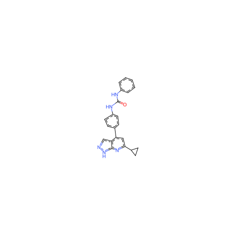 O=C(Nc1ccccc1)Nc1ccc(-c2cc(C3CC3)nc3[nH]ncc23)cc1